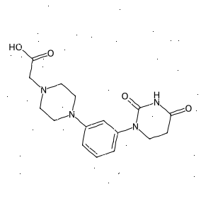 O=C(O)CN1CCN(c2cccc(N3CCC(=O)NC3=O)c2)CC1